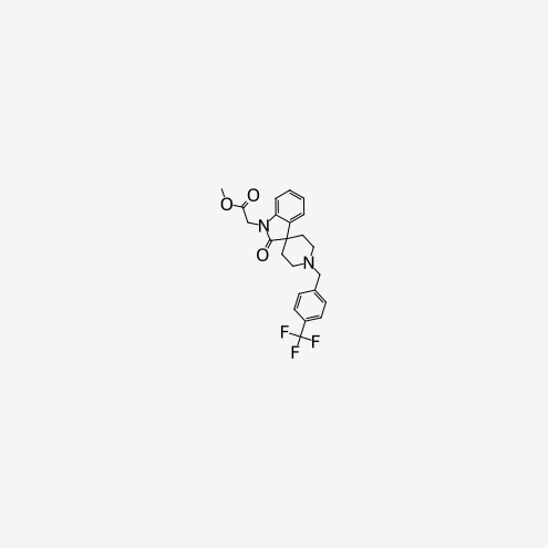 COC(=O)CN1C(=O)C2(CCN(Cc3ccc(C(F)(F)F)cc3)CC2)c2ccccc21